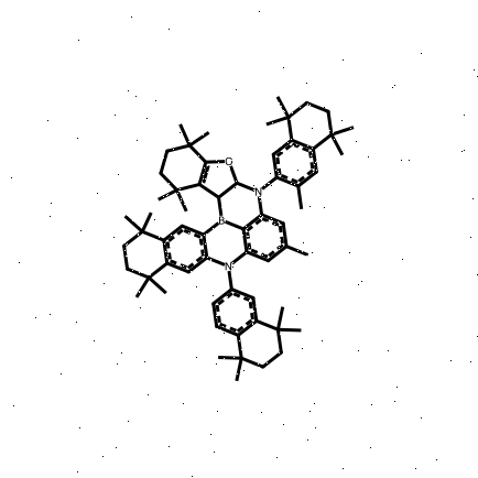 Cc1cc2c3c(c1)N(c1cc4c(cc1C)C(C)(C)CCC4(C)C)C1OC4=C(C1B3c1cc3c(cc1N2c1ccc2c(c1)C(C)(C)CCC2(C)C)C(C)(C)CCC3(C)C)C(C)(C)CCC4(C)C